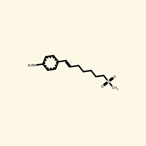 CC(=O)Nc1ccc(/C=C/CCCCCS(C)(=O)=O)cc1